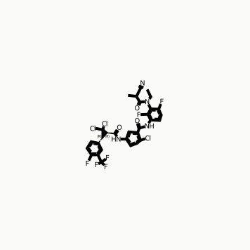 CCN(C(=O)C(C)C#N)c1c(F)ccc(NC(=O)c2cc(NC(=O)[C@H]3[C@H](c4ccc(F)c(C(F)(F)F)c4)C3(Cl)Cl)ccc2Cl)c1F